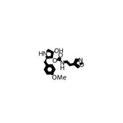 COc1ccc(C[C@H]2NC[C@H](O)[C@H]2OC(=O)NCCc2cnoc2)cc1